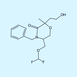 CC1(CCO)OCC(COC(F)F)N(Cc2ccccc2)C1=O